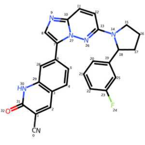 N#Cc1cc2ccc(-c3cnc4ccc(N5CCCC5c5cccc(F)c5)nn34)cc2[nH]c1=O